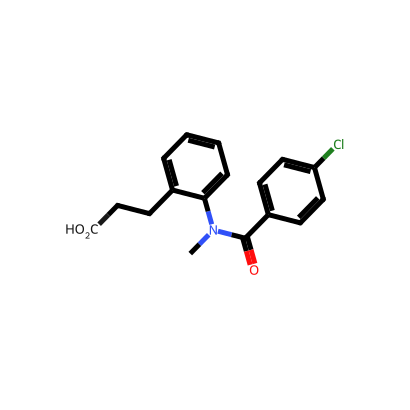 CN(C(=O)c1ccc(Cl)cc1)c1ccccc1CCC(=O)O